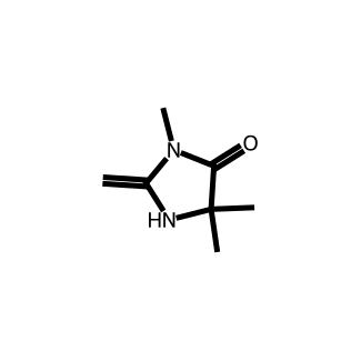 C=C1NC(C)(C)C(=O)N1C